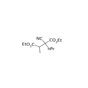 CCCC(C#N)(C(=O)OCC)C(C)C(=O)OCC